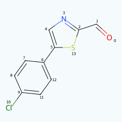 O=Cc1ncc(-c2ccc(Cl)cc2)s1